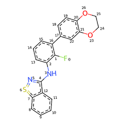 Fc1c(Nc2nsc3ccccc23)cccc1-c1ccc2c(c1)OCCO2